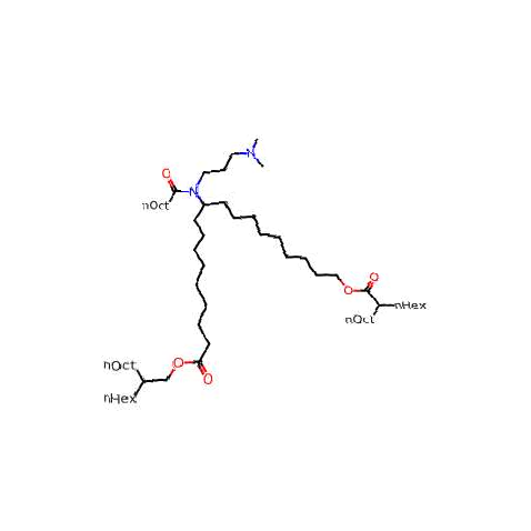 CCCCCCCCC(=O)N(CCCN(C)C)C(CCCCCCCCCOC(=O)C(CCCCCC)CCCCCCCC)CCCCCCCCC(=O)OCC(CCCCCC)CCCCCCCC